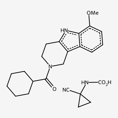 COc1cccc2c3c([nH]c12)CCN(C(=O)C1CCCCC1)C3.N#CC1(NC(=O)O)CC1